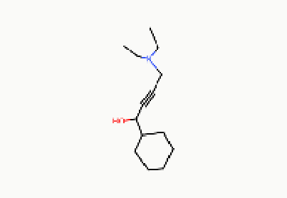 CCN(CC)CC#C[C](O)C1CCCCC1